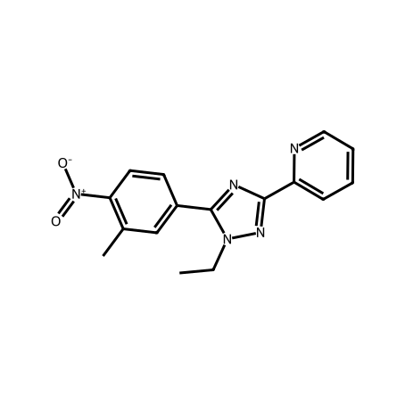 CCn1nc(-c2ccccn2)nc1-c1ccc([N+](=O)[O-])c(C)c1